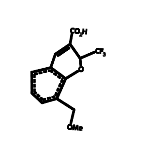 COCc1cccc2c1OC(C(F)(F)F)C(C(=O)O)=C2